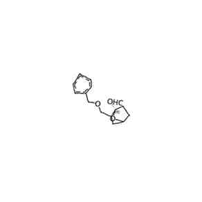 O=C[C@@]12CCC(CC1COCc1ccccc1)O2